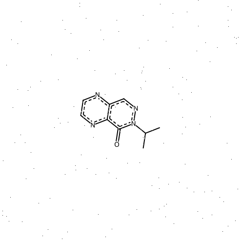 CC(C)n1ncc2nccnc2c1=O